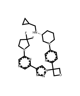 FC1(F)CCN(c2cncc(-c3cn(C4(c5ccc(N6CCC[C@@H](NCC7CC7)C6)cn5)COC4)nn3)n2)C1